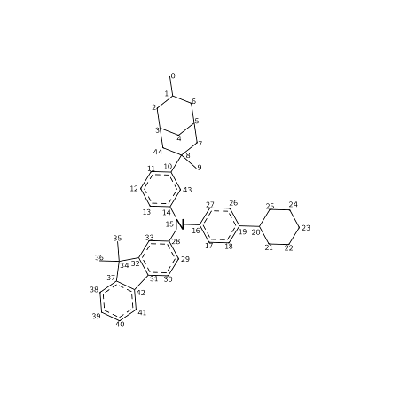 CC1CC2CC(C1)CC(C)(c1cccc(N(c3ccc(C4CCCCC4)cc3)c3ccc4c(c3)C(C)(C)c3ccccc3-4)c1)C2